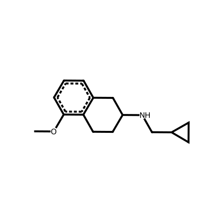 COc1cccc2c1CCC(NCC1CC1)C2